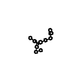 c1ccc(-c2ccc(N(c3ccc(-c4ccc(-c5cccc(-c6ccc7ccccc7c6)c5)cc4)cc3)c3ccc(-c4ccccc4-c4ccccc4)cc3)cc2)cc1